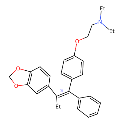 CC/C(=C(\c1ccccc1)c1ccc(OCCN(CC)CC)cc1)c1ccc2c(c1)OCO2